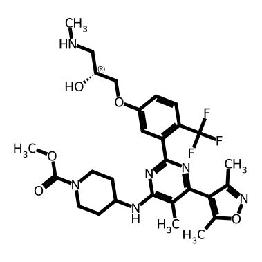 CNC[C@@H](O)COc1ccc(C(F)(F)F)c(-c2nc(NC3CCN(C(=O)OC)CC3)c(C)c(-c3c(C)noc3C)n2)c1